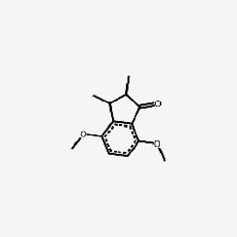 COc1ccc(OC)c2c1C(=O)C(C)C2C